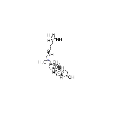 C/C(=C\[C@H]1CC[C@]2(O)[C@@H]3CC[C@@H]4C[C@@H](O)CC[C@]4(C)[C@H]3CC[C@]12C)CNOCCCNC(=N)N